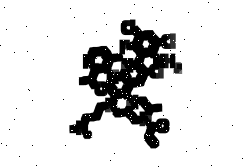 C=CC(=O)N1CC2CN(CCCN(C)C)c3c(c4cc(Cl)c(-c5c(N)c(Cl)cc(Cl)c5F)nc4n(-c4c(C)ccnc4C(C)C)c3=O)N2CC1C